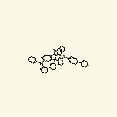 c1ccc(-c2ccc(N(c3ccccc3)c3ccc4c(c3)C3(c5ccccc5-4)c4cc(N(c5ccccc5)c5ccccc5)ccc4-c4sc5ccccc5c43)cc2)cc1